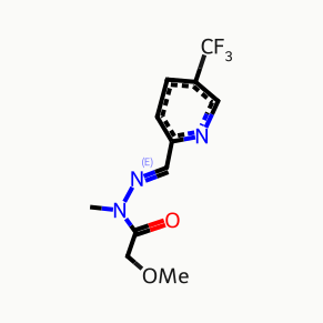 COCC(=O)N(C)/N=C/c1ccc(C(F)(F)F)cn1